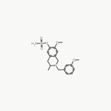 COc1cccc(CN2Cc3cc(OC)c(OS(N)(=O)=O)cc3CC2C)c1